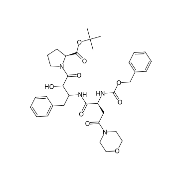 CC(C)(C)OC(=O)[C@@H]1CCCN1C(=O)C(O)C(Cc1ccccc1)NC(=O)[C@H](CC(=O)N1CCOCC1)NC(=O)OCc1ccccc1